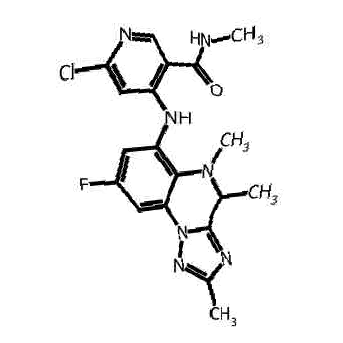 CNC(=O)c1cnc(Cl)cc1Nc1cc(F)cc2c1N(C)C(C)c1nc(C)nn1-2